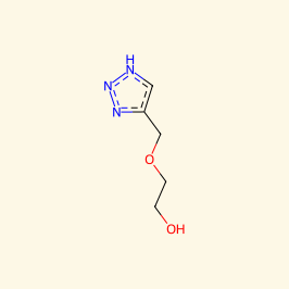 OCCOCc1c[nH]nn1